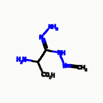 C=NN/C(=N\N)C(N)C(=O)O